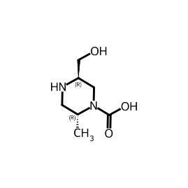 C[C@@H]1CN[C@@H](CO)CN1C(=O)O